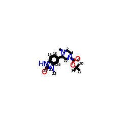 CN1CCN(C(=O)OC(C)(C)C)CC1c1ccc2[nH]c(=O)n(C)c2c1